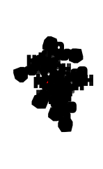 N[C@H]1C[C@H]2NC(=O)O[C@@H]2[C@@H](O[C@@H]2O[C@H](CO)[C@@H](O[C@H]3O[C@H]4CN(C(=O)OCc5ccccc5)C(c5ccccc5)O[C@H]4[C@H](O)[C@H]3NC(=O)OCc3ccccc3)[C@H]2O)[C@@H]1O[C@H]1O[C@@H]2CN(C(=O)OCc3ccccc3)C(c3ccccc3)O[C@H]2[C@H](O)[C@H]1NC(=O)OCc1ccccc1